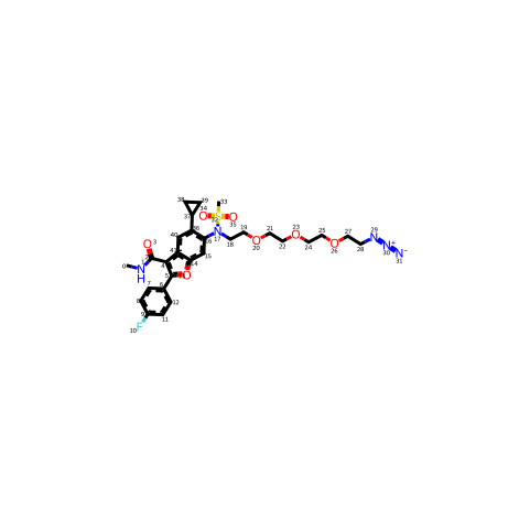 CNC(=O)c1c(-c2ccc(F)cc2)oc2cc(N(CCOCCOCCOCCN=[N+]=[N-])S(C)(=O)=O)c(C3CC3)cc12